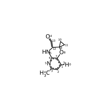 [2H]c1cc(C)nc2c1OC1(CC1)C(=C=O)N2